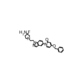 NC1(F)CCN(CCn2ncc3cc(-n4ccc(OCc5ccccc5)cc4=O)ccc32)C1